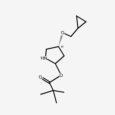 CC(C)(C)C(=O)OC1C[C@@H](OCC2CC2)CN1